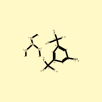 COB(OC)OC.Nc1cc(C(F)(F)F)cc(C(F)(F)F)c1